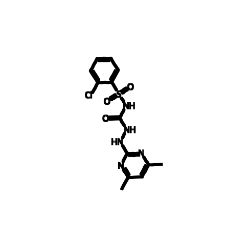 Cc1cc(C)nc(NNC(=O)NS(=O)(=O)c2ccccc2Cl)n1